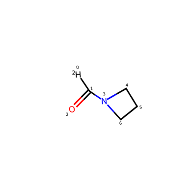 [2H]C(=O)N1CCC1